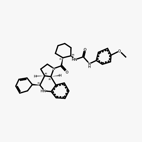 COc1ccc(NC(=O)N[C@@H]2CCCC[C@@H]2C(=O)N2CC[C@@H]3[C@H](C4C=CC=CC4)Nc4ccccc4[C@@H]32)cc1